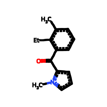 CCc1c(C)cccc1C(=O)c1cccn1C